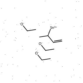 C=C[CH](C)[Sn+3].CC[O-].CC[O-].CC[O-]